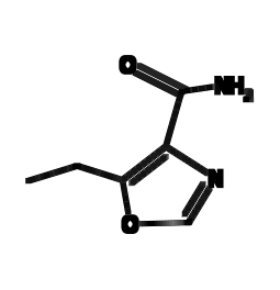 CCc1ocnc1C(N)=O